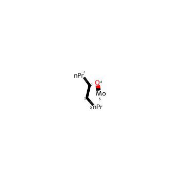 CCCCCCCC.[O]=[Mo]